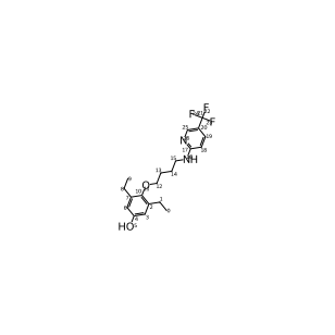 CCc1cc(O)cc(CC)c1OCCCCNc1ccc(C(F)(F)F)cn1